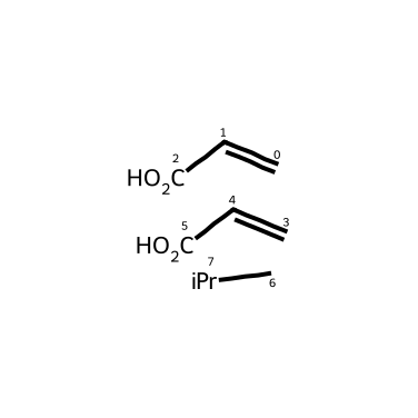 C=CC(=O)O.C=CC(=O)O.CC(C)C